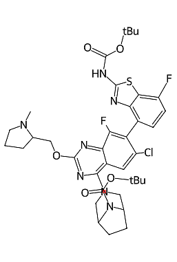 CN1CCCC1COc1nc(N2CC3CCC(C2)N3C(=O)OC(C)(C)C)c2cc(Cl)c(-c3ccc(F)c4sc(NC(=O)OC(C)(C)C)nc34)c(F)c2n1